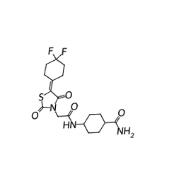 NC(=O)C1CCC(NC(=O)CN2C(=O)SC(=C3CCC(F)(F)CC3)C2=O)CC1